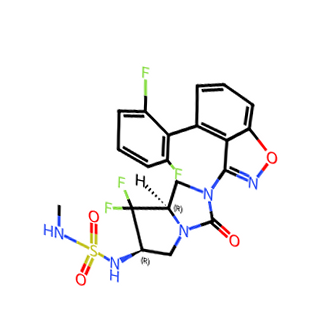 CNS(=O)(=O)N[C@@H]1CN2C(=O)N(c3noc4cccc(-c5c(F)cccc5F)c34)C[C@@H]2C1(F)F